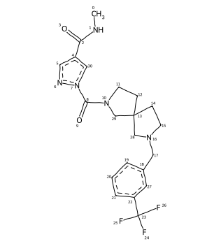 CNC(=O)c1cnn(C(=O)N2CCC3(CCN(Cc4cccc(C(F)(F)F)c4)C3)C2)c1